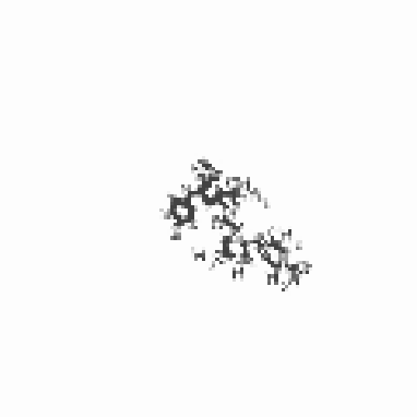 C[C@@H]1CN(CC(=O)N2CC(C)(C)c3c2cc(Cc2ccc(F)cc2)c2ncnn32)[C@@H](CN2CCN(C(N)=O)C[C@H]2C)CN1